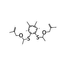 C=C(C)COC(C)Sc1[c]c(C)c(C)[c]c1SC(C)OCC(=C)C